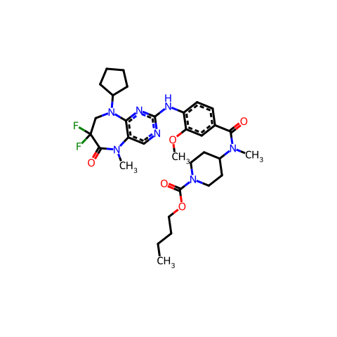 CCCCOC(=O)N1CCC(N(C)C(=O)c2ccc(Nc3ncc4c(n3)N(C3CCCC3)CC(F)(F)C(=O)N4C)c(OC)c2)CC1